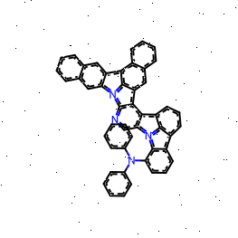 c1ccc(N(c2ccccc2)c2cccc3c4cccc5c6c7c8cc9ccccc9c9c%10cc%11ccccc%11cc%10n(c7ncc6n(c23)c45)c89)cc1